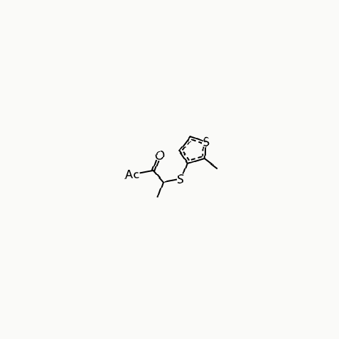 CC(=O)C(=O)C(C)Sc1ccsc1C